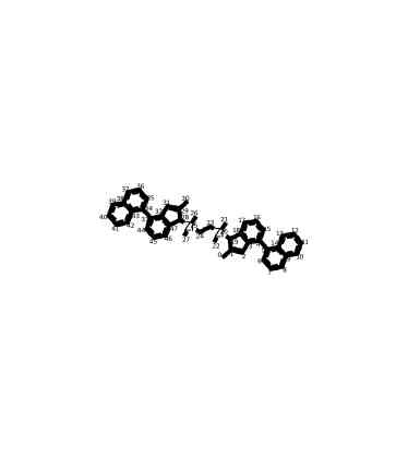 CC1=Cc2c(-c3cccc4ccccc34)cccc2[CH]1[Zr]([CH3])([CH3])[CH2][CH2][Zr]([CH3])([CH3])[CH]1C(C)=Cc2c(-c3cccc4ccccc34)cccc21